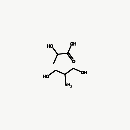 CC(O)C(=O)O.NC(CO)CO